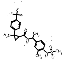 Cc1cc(C(C)NC(=O)C2CC2(C)c2ccc(C(F)(F)F)cc2)ccc1NS(C)(=O)=O